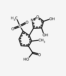 Cc1c(C(=O)O)ccc(S(C)(=O)=O)c1-c1noc(O)c1O